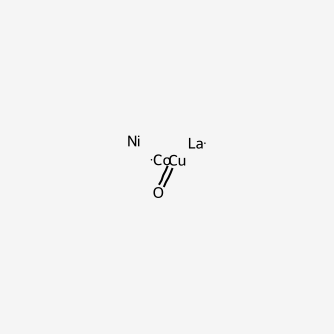 [Co].[La].[Ni].[O]=[Cu]